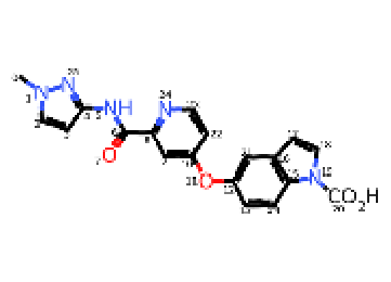 Cn1ccc(NC(=O)c2cc(Oc3ccc4c(ccn4C(=O)O)c3)ccn2)n1